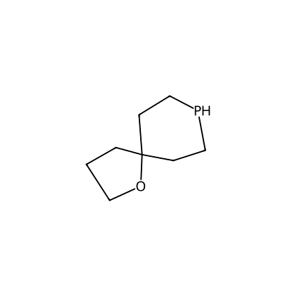 C1COC2(C1)CCPCC2